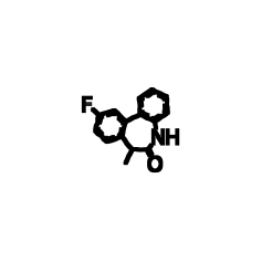 CC1C(=O)Nc2ccccc2-c2cc(F)ccc21